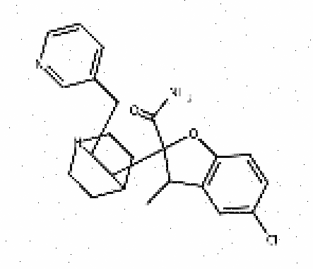 CC1c2cc(Cl)ccc2OC1(C(N)=O)C1C2CCN(CC2)C1Cc1cccnc1